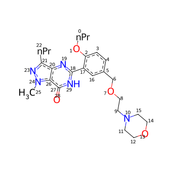 CCCOc1ccc(COCCN2CCOCC2)cc1-c1nc2c(CCC)nn(C)c2c(=O)[nH]1